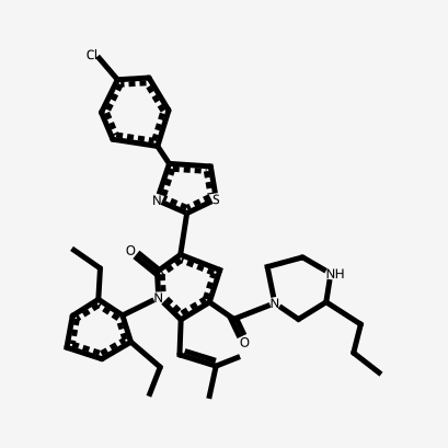 CCCC1CN(C(=O)c2cc(-c3nc(-c4ccc(Cl)cc4)cs3)c(=O)n(-c3c(CC)cccc3CC)c2C=C(C)C)CCN1